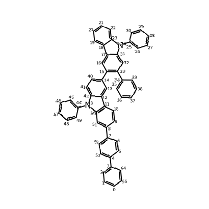 c1ccc(-c2ccc(-c3ccc4c5cc(-c6cc7c8ccccc8n(-c8ccccc8)c7cc6-c6ccccc6)ccc5n(-c5ccccc5)c4c3)cc2)cc1